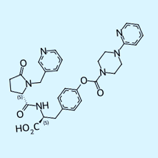 O=C(O)[C@H](Cc1ccc(OC(=O)N2CCN(c3ccccn3)CC2)cc1)NC(=O)[C@@H]1CCC(=O)N1Cc1cccnc1